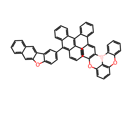 c1ccc2c(c1)Oc1cccc3c1B2c1cc(-c2ccccc2-c2c4ccccc4c(-c4ccc5oc6cc7ccccc7cc6c5c4)c4ccccc24)ccc1O3